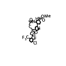 COC(=O)Nc1ccc2c(c1)NC(=O)[C@H](C)CCC[C@H](N1CCC(c3c(C(F)(F)F)ccc(Cl)c3F)OC1=O)c1ccnc-2c1